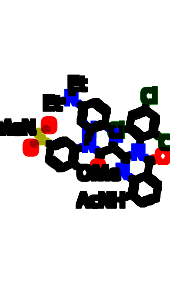 CCN(CC)c1ccc(/N=C(\C(=O)Nc2cc(S(=O)(=O)NC)ccc2OC)c2nc3c(NC(C)=O)cccc3c(=O)n2-c2c(Cl)cc(Cl)cc2Cl)c(C)c1